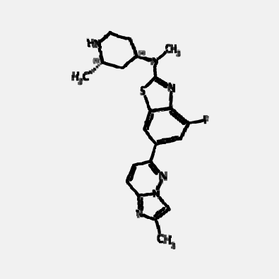 Cc1cn2nc(-c3cc(F)c4nc(N(C)[C@@H]5CCN[C@@H](C)C5)sc4c3)ccc2n1